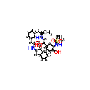 C[C@H](Cc1cccc(CC(=O)NC2Cc3ccccc3C2)c1)NC[C@H](O)c1ccc(O)c(NS(C)(=O)=O)c1